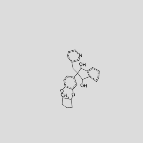 COc1ccc(C2(Cc3cccnc3)C(O)c3ccccc3C2O)cc1OC1CCCC1